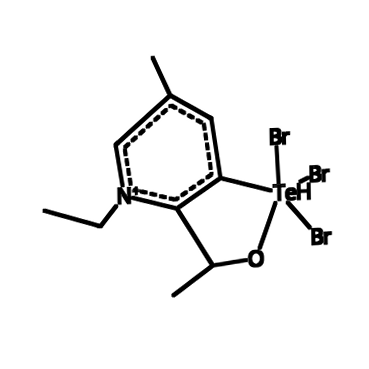 CC[n+]1cc(C)cc2c1C(C)O[TeH]2(Br)(Br)Br